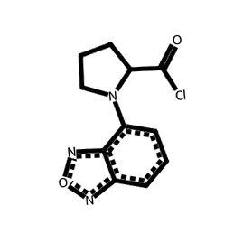 O=C(Cl)C1CCCN1c1cccc2nonc12